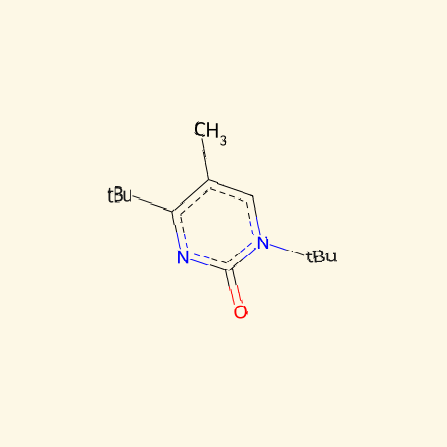 Cc1cn(C(C)(C)C)c(=O)nc1C(C)(C)C